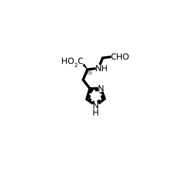 O=CCN[C@@H](Cc1c[nH]cn1)C(=O)O